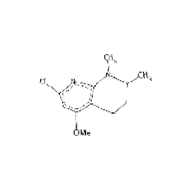 COc1cc(Cl)nc2c1CCC(C)N2C